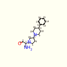 NC(C=O)N1CCC(N2CCC(c3ccccc3)CC2)C1